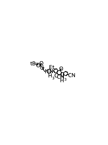 CCc1cc2c(cc1N1CCN(CC3CN(C(=O)OC(C)(C)C)C3)CC1)C(C)(C)c1[nH]c3cc(C#N)ccc3c1C2=O